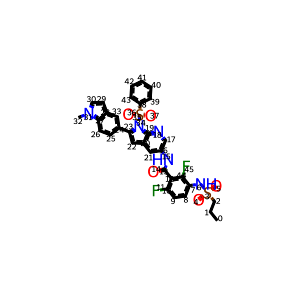 CCCS(=O)(=O)Nc1ccc(F)c(C(=O)Nc2cnc3c(c2)cc(-c2ccc4c(ccn4C)c2)n3S(=O)(=O)c2ccccc2)c1F